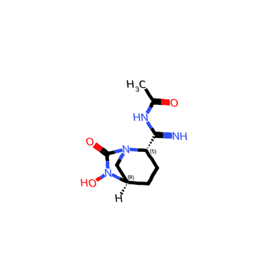 CC(=O)NC(=N)[C@@H]1CC[C@@H]2CN1C(=O)N2O